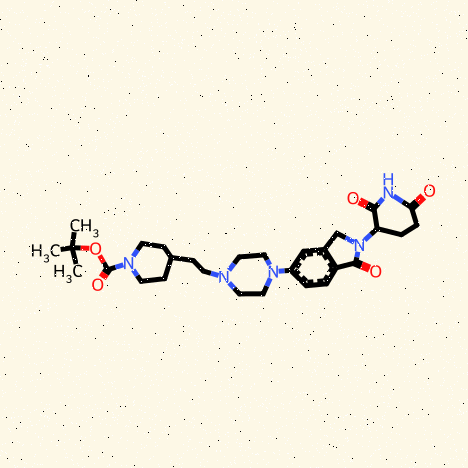 CC(C)(C)OC(=O)N1CCC(CCN2CCN(c3ccc4c(c3)CN(C3CCC(=O)NC3=O)C4=O)CC2)CC1